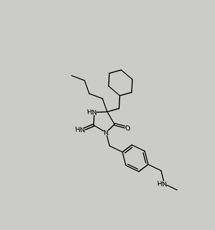 CCCCC1(CC2CCCCC2)NC(=N)N(Cc2ccc(CNC)cc2)C1=O